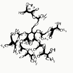 CC(OCC1C(OC(C)OC(=O)C(C)S)C(OC(C)OC(=O)C(C)S)OC(OC(C)OC(=O)C(C)S)C1OC(C)OC(=O)C(C)S)OC(=O)C(C)S